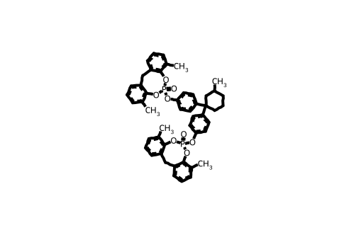 Cc1cccc2c1OP(=O)(Oc1ccc(C3(c4ccc(OP5(=O)Oc6c(C)cccc6Cc6cccc(C)c6O5)cc4)CCCC(C)C3)cc1)Oc1c(C)cccc1C2